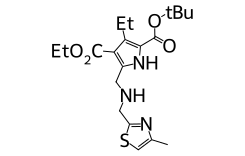 CCOC(=O)c1c(CNCc2nc(C)cs2)[nH]c(C(=O)OC(C)(C)C)c1CC